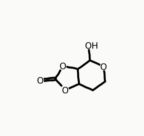 O=C1OC2CCOC(O)C2O1